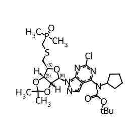 CC(C)(C)OC(=O)N(c1nc(Cl)nc2c1cnn2[C@@H]1O[C@H](CSCP(C)(C)=O)[C@H]2OC(C)(C)O[C@H]21)C1CCCC1